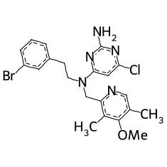 COc1c(C)cnc(CN(CCc2cccc(Br)c2)c2cc(Cl)nc(N)n2)c1C